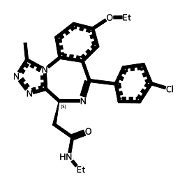 CCNC(=O)C[C@@H]1N=C(c2ccc(Cl)cc2)c2cc(OCC)ccc2-n2c(C)nnc21